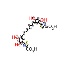 O=C(O)C1CSC(c2cc(CCCCCCCCCc3cc(C4=N[C@@H](C(=O)O)CS4)c(O)cc3O)c(O)cc2O)=N1